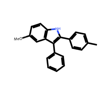 COc1ccc2[nH]c(-c3ccc(C)cc3)c(-c3ccccc3)c2c1